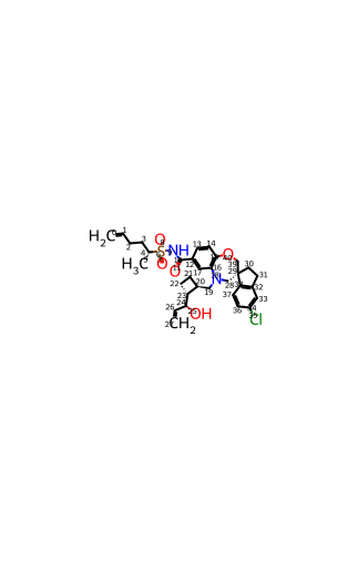 C=CCC[C@@H](C)S(=O)(=O)NC(=O)c1ccc2c(c1)N(C[C@@H]1CC[C@H]1[C@@H](O)C=C)C[C@@]1(CCc3cc(Cl)ccc31)CO2